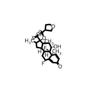 CC1C[C@H]2[C@@H]3C[C@H](F)C4=CC(=O)C=C[C@]4(C)[C@@]3(F)[C@@H](O)C[C@]2(C)[C@@]1(OC(=O)C1CCOC1)C(O)=S